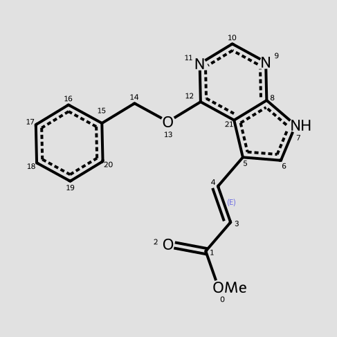 COC(=O)/C=C/c1c[nH]c2ncnc(OCc3ccccc3)c12